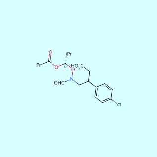 CC(C)C(=O)O[C@@H](ON(C=O)CC(CC(=O)O)c1ccc(Cl)cc1)C(C)C